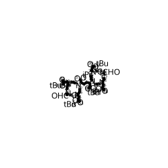 CC(C)OC(=O)C(CCC(C(=O)OC(C)C)N1CCN(CC(=O)OC(C)(C)C)CCN(C=O)CCN(CC(=O)OC(C)(C)C)CC1)N1CCN(CC(=O)OC(C)(C)C)CCN(C=O)CCN(CC(=O)OC(C)(C)C)CC1